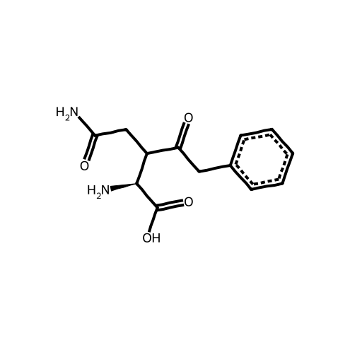 NC(=O)CC(C(=O)Cc1ccccc1)[C@H](N)C(=O)O